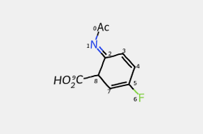 CC(=O)N=C1C=CC(F)=CC1C(=O)O